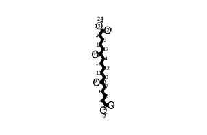 COC(=O)CCCCC(=O)CCCCCC(=O)CCCCC(=O)OC